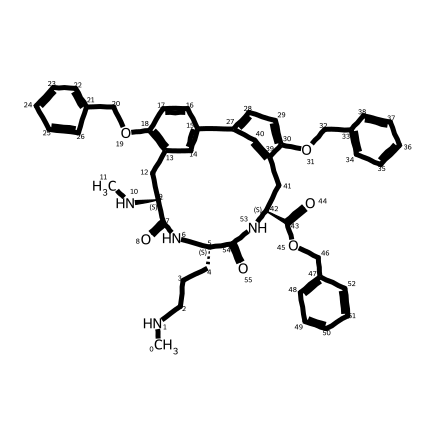 CNCCC[C@@H]1NC(=O)[C@@H](NC)Cc2cc(ccc2OCc2ccccc2)-c2ccc(OCc3ccccc3)c(c2)C[C@@H](C(=O)OCc2ccccc2)NC1=O